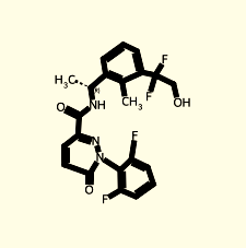 Cc1c([C@@H](C)NC(=O)c2ccc(=O)n(-c3c(F)cccc3F)n2)cccc1C(F)(F)CO